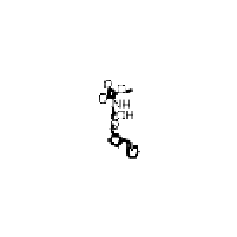 CCOc1c(NCC(O)COCc2cccc(CN3CCCCC3)c2)c(=O)c1=O